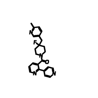 Cc1ccc(CC2(F)CCN(C(=O)c3cccnc3-c3ccncc3)CC2)cn1